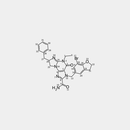 CCN1C(=O)c2c(nc(C(N)=O)n2Cc2cc(Br)c3c(c2)CCO3)N2CC(Cc3ccccc3)N=C12